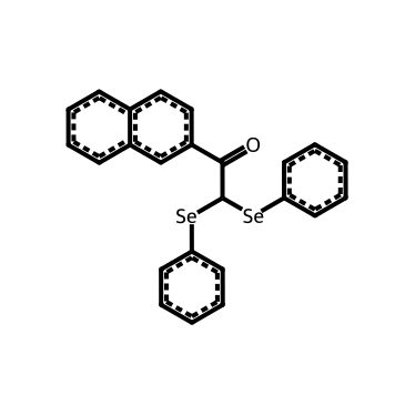 O=C(c1ccc2ccccc2c1)C([Se]c1ccccc1)[Se]c1ccccc1